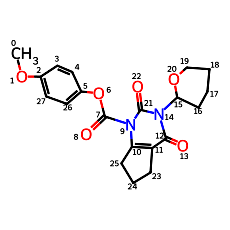 COc1ccc(OC(=O)n2c3c(c(=O)n(C4CCCCO4)c2=O)CCC3)cc1